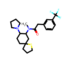 CN(C(=O)Cc1cccc(C(F)(F)F)c1)C1CC2(CCCS2)CCC1N1CCCC1